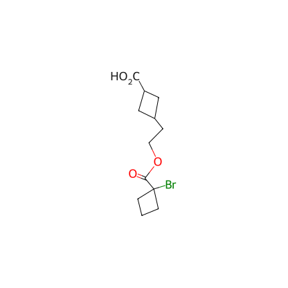 O=C(O)C1CC(CCOC(=O)C2(Br)CCC2)C1